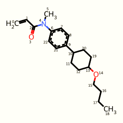 C=CC(=O)N(C)c1ccc(C2CCC(OCCCC)CC2)cc1